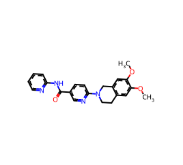 COc1cc2c(cc1OC)CN(c1ccc(C(=O)Nc3ccccn3)cn1)CC2